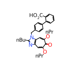 CCCCc1nc2cc(OCCC)c(=O)c(OCCC)cc2n1Cc1ccc(-c2ccccc2C(=O)O)cc1